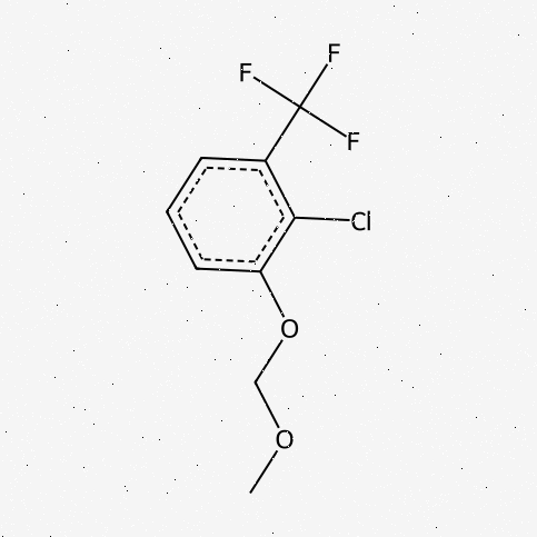 COCOc1cccc(C(F)(F)F)c1Cl